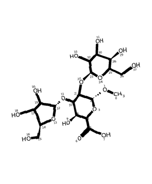 CO[C@@H]1OC(C(=O)O)[C@@H](O)C(O[C@@H]2O[C@@H](CO)C(O)C2O)C1O[C@@H]1OC(CO)[C@H](O)C(O)C1O